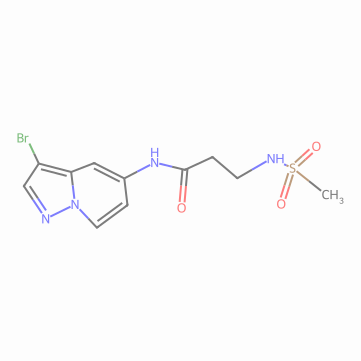 CS(=O)(=O)NCCC(=O)Nc1ccn2ncc(Br)c2c1